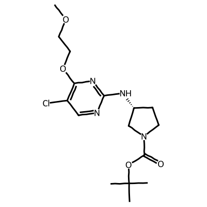 COCCOc1nc(N[C@@H]2CCN(C(=O)OC(C)(C)C)C2)ncc1Cl